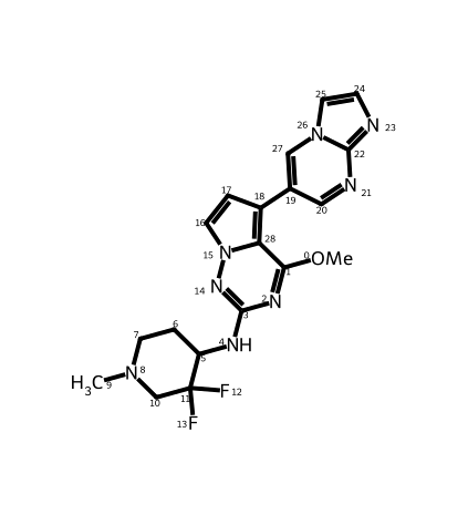 COc1nc(NC2CCN(C)CC2(F)F)nn2ccc(-c3cnc4nccn4c3)c12